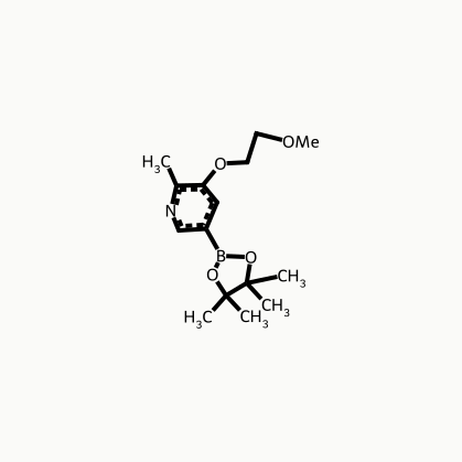 COCCOc1cc(B2OC(C)(C)C(C)(C)O2)cnc1C